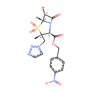 C[C@]1(Cn2ccnn2)[C@H](C(=O)OCc2ccc([N+](=O)[O-])cc2)N2C(=O)[C@H](Br)[C@H]2S1(=O)=O